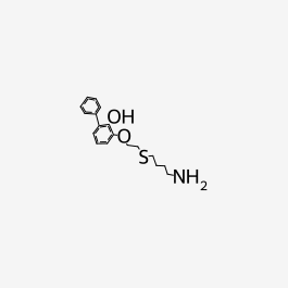 NCCCCSCCOc1cccc(-c2ccccc2)c1O